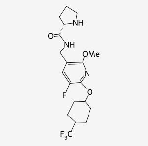 COc1nc(OC2CCC(C(F)(F)F)CC2)c(F)cc1CNC(=O)[C@@H]1CCCN1